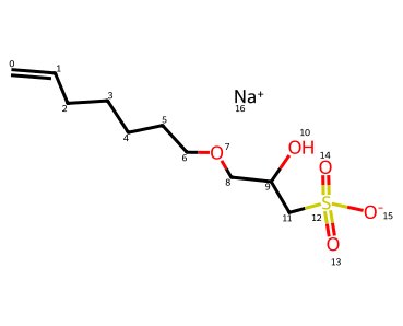 C=CCCCCCOCC(O)CS(=O)(=O)[O-].[Na+]